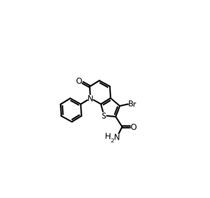 NC(=O)c1sc2c(ccc(=O)n2-c2ccccc2)c1Br